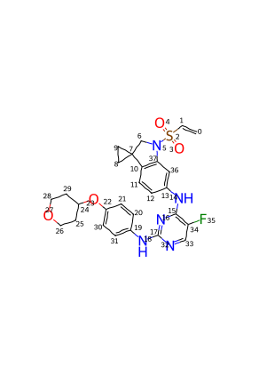 C=CS(=O)(=O)N1CC2(CC2)c2ccc(Nc3nc(Nc4ccc(OC5CCOCC5)cc4)ncc3F)cc21